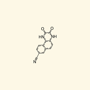 N#Cc1ccc2c(ccc3[nH]c(=O)c(=O)[nH]c32)c1